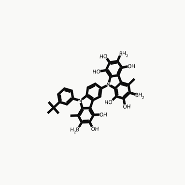 Bc1c(O)c(O)c2c(c1C)c1c(O)c(B)c(O)c(O)c1n2-c1ccc2c(c1)c1c(O)c(O)c(B)c(C)c1n2-c1cccc(C(C)(C)C)c1